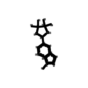 Cn1ncc2cc(B3OC(C)(C)C(C)(C)O3)cnc21